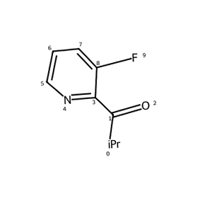 CC(C)C(=O)c1ncccc1F